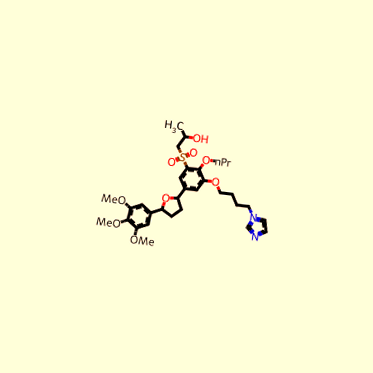 CCCOc1c(OCCCCn2ccnc2)cc(C2CCC(c3cc(OC)c(OC)c(OC)c3)O2)cc1S(=O)(=O)CC(C)O